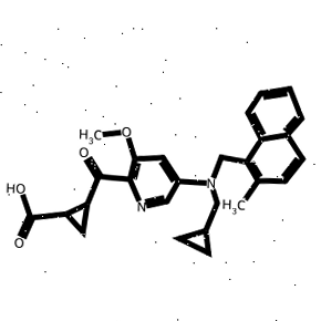 COc1cc(N(Cc2c(C)ccc3ccccc23)CC2CC2)cnc1C(=O)C1CC1C(=O)O